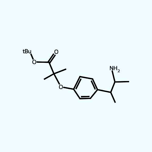 CC(N)C(C)c1ccc(OC(C)(C)C(=O)OC(C)(C)C)cc1